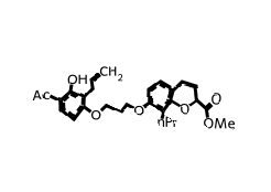 C=CCc1c(OCCCOc2ccc3c(c2CCC)OC(C(=O)OC)CC3)ccc(C(C)=O)c1O